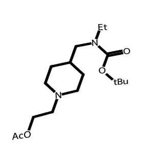 CCN(CC1CCN(CCOC(C)=O)CC1)C(=O)OC(C)(C)C